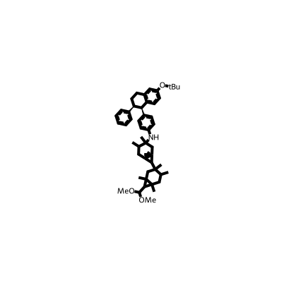 COC(OC)C1C2(C)CC(C)C(C)(C3C4(C)CC(C)C(C)(Nc5ccc([C@@H]6c7ccc(OC(C)(C)C)cc7CC[C@@H]6c6ccccc6)cc5)CC34C)CC12C